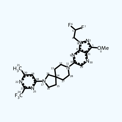 COc1nn(CC(F)F)c2nc(N3CCC4(CCN(c5cc(C)nc(C(F)(F)F)n5)C4)CC3)cnc12